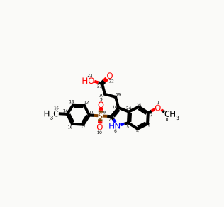 COc1ccc2[nH]c(S(=O)(=O)c3ccc(C)cc3)c(CCC(=O)O)c2c1